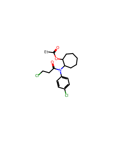 CCC(=O)OC1CCCCCC1N(C(=O)CCCl)c1ccc(Cl)cc1